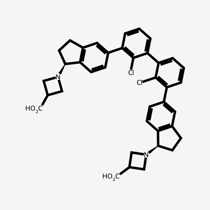 O=C(O)C1CN([C@@H]2CCc3cc(-c4cccc(-c5cccc(-c6ccc7c(c6)CC[C@@H]7N6CC(C(=O)O)C6)c5Cl)c4Cl)ccc32)C1